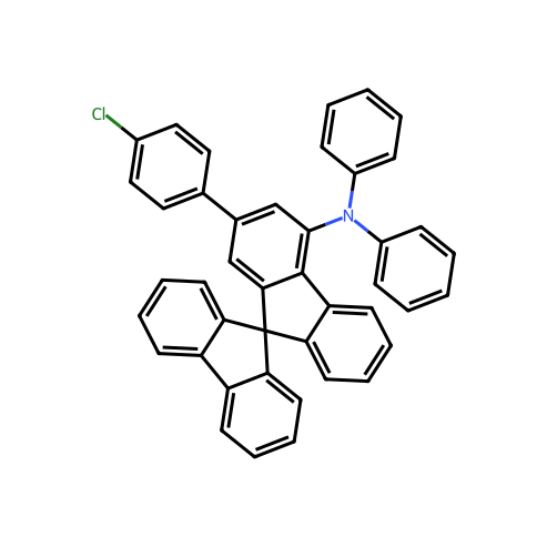 Clc1ccc(-c2cc(N(c3ccccc3)c3ccccc3)c3c(c2)C2(c4ccccc4-c4ccccc42)c2ccccc2-3)cc1